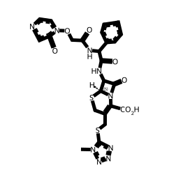 Cn1nnnc1SCC1=C(C(=O)O)N2C(=O)C(NC(=O)C(NC(=O)COn3ccncc3=O)c3ccccc3)[C@@H]2SC1